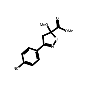 COC(=O)C1(OC)CC(c2ccc(C#N)cc2)=NO1